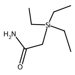 CC[Si](CC)(CC)CC(N)=O